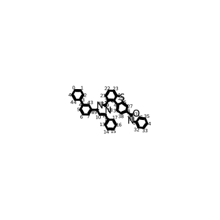 c1ccc(-c2cccc(-c3cc(-c4ccccc4)nc(-c4cccc5sc6cc(-c7nc8ccccc8o7)ccc6c45)n3)c2)cc1